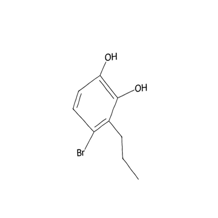 CCCc1c(Br)ccc(O)c1O